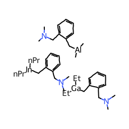 CC[CH2][In]([CH2]CC)[CH2]c1ccccc1CN(C)C.CN(C)Cc1ccccc1[CH2][Al]([CH3])[CH3].C[CH2][Ga]([CH2]C)[CH2]c1ccccc1CN(C)C